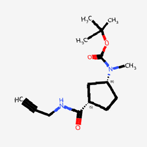 C#CCNC(=O)[C@H]1CC[C@@H](N(C)C(=O)OC(C)(C)C)C1